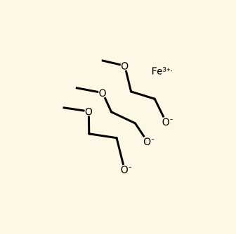 COCC[O-].COCC[O-].COCC[O-].[Fe+3]